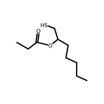 CCCCCC(CS)OC(=O)CC